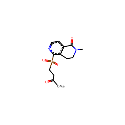 COC(=O)CCS(=O)(=O)c1nccc2c1CCN(C)C2=O